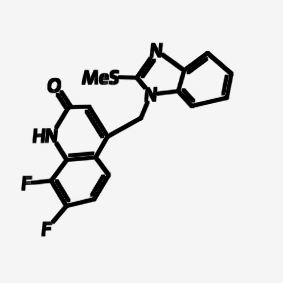 CSc1nc2ccccc2n1Cc1cc(=O)[nH]c2c(F)c(F)ccc12